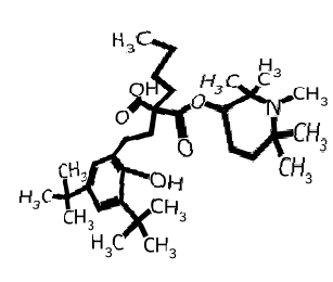 CCCCC(CCc1cc(C(C)(C)C)cc(C(C)(C)C)c1O)(C(=O)O)C(=O)OC1CCC(C)(C)N(C)C1(C)C